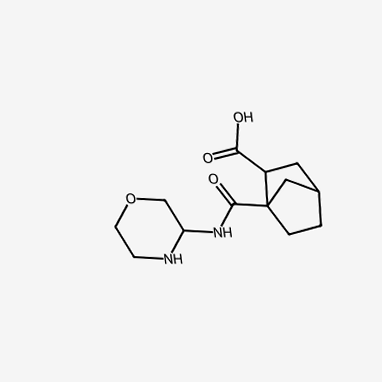 O=C(O)C1CC2CCC1(C(=O)NC1COCCN1)C2